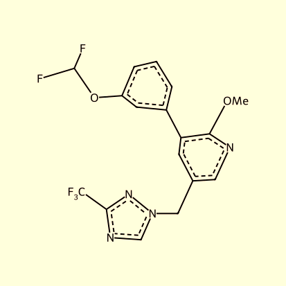 COc1ncc(Cn2cnc(C(F)(F)F)n2)cc1-c1cccc(OC(F)F)c1